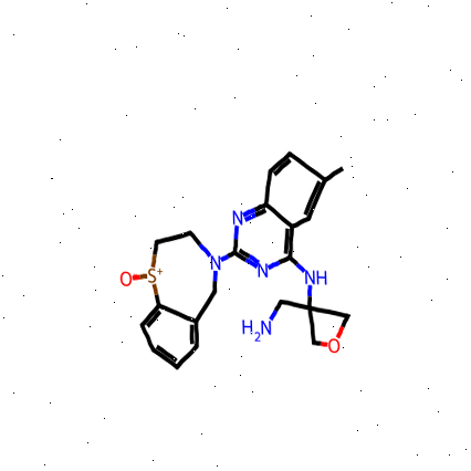 Cc1ccc2nc(N3CC[S+]([O-])c4ccccc4C3)nc(NC3(CN)COC3)c2c1